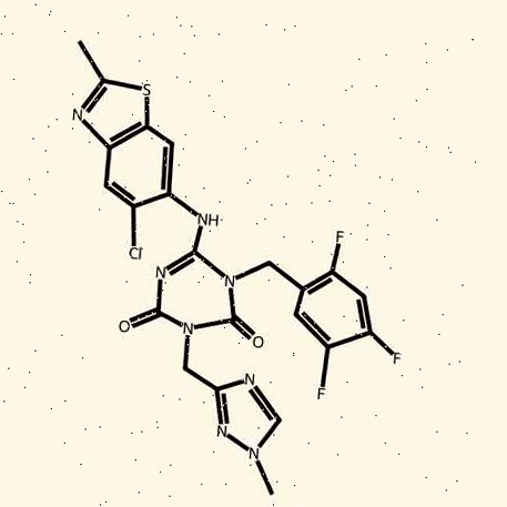 Cc1nc2cc(Cl)c(Nc3nc(=O)n(Cc4ncn(C)n4)c(=O)n3Cc3cc(F)c(F)cc3F)cc2s1